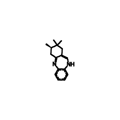 C[C@@H]1CC2=Nc3ccccc3NC=C2CC1(C)C